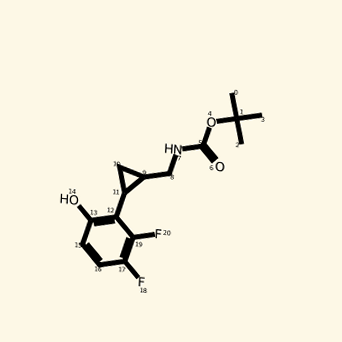 CC(C)(C)OC(=O)NCC1CC1c1c(O)ccc(F)c1F